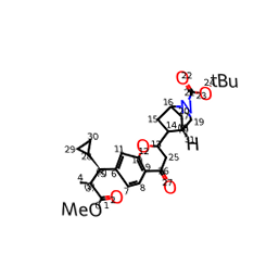 COC(=O)[C@@H](C)[C@H](c1ccc2c(c1)OC(C1CC3C[C@@H]1CN3C(=O)OC(C)(C)C)CC2=O)C1CC1